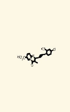 Cc1c(C=Cc2ccc(Cl)cc2Cl)nc2ccc(C(=O)O)cn2c1=O